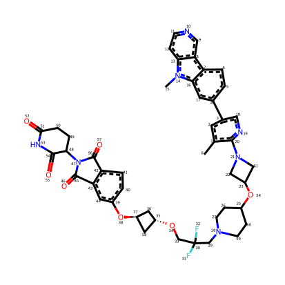 Cc1cc(-c2ccc3c4cnccc4n(C)c3c2)cnc1N1CC(OC2CCN(CC(F)(F)CO[C@H]3C[C@H](Oc4ccc5c(c4)C(=O)N(C4CCC(=O)NC4=O)C5=O)C3)CC2)C1